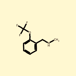 CNCc1ccccc1OC(F)(F)F